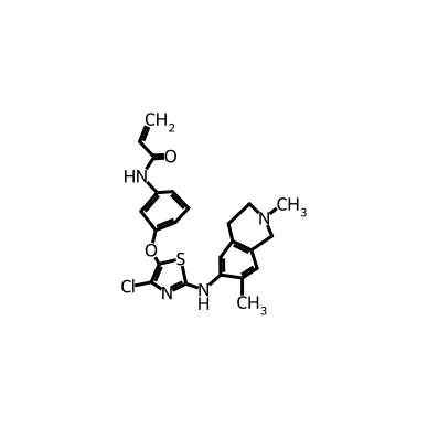 C=CC(=O)Nc1cccc(Oc2sc(Nc3cc4c(cc3C)CN(C)CC4)nc2Cl)c1